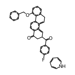 C1=CC=CNC=C1.O=C1CC(C(=O)c2ccc(F)cc2)C=c2c1ccc1c2=CCc2cccc(OCc3ccccc3)c2-1